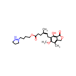 COc1c(C)c2c(c(O)c1CC=C(C)CCC(=O)OCCCCN1CCCN1)C(=O)OC2